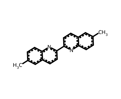 Cc1ccc2nc(-c3ccc4cc(C)ccc4n3)ccc2c1